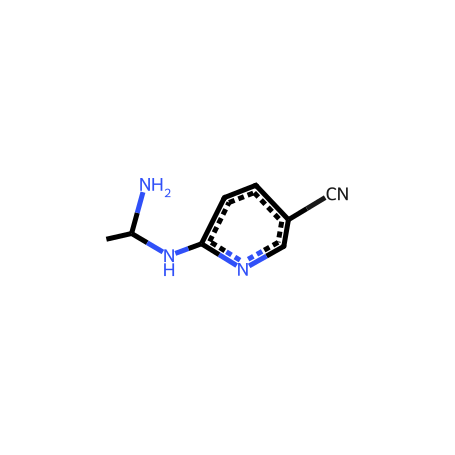 CC(N)Nc1ccc(C#N)cn1